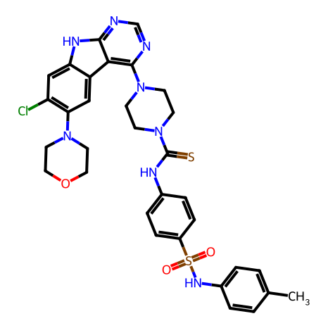 Cc1ccc(NS(=O)(=O)c2ccc(NC(=S)N3CCN(c4ncnc5[nH]c6cc(Cl)c(N7CCOCC7)cc6c45)CC3)cc2)cc1